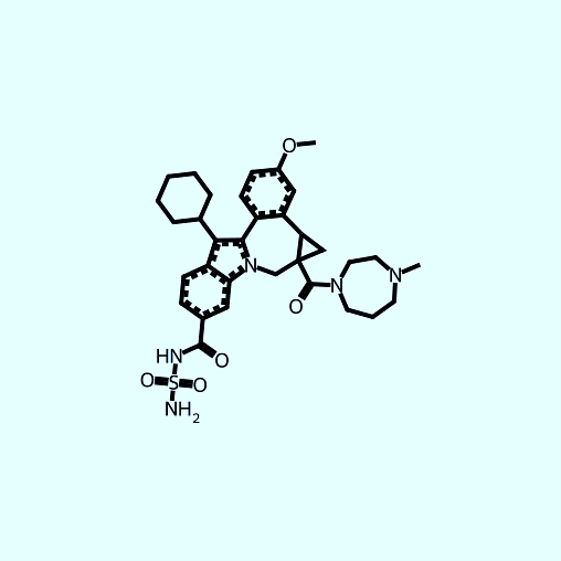 COc1ccc2c(c1)C1CC1(C(=O)N1CCCN(C)CC1)Cn1c-2c(C2CCCCC2)c2ccc(C(=O)NS(N)(=O)=O)cc21